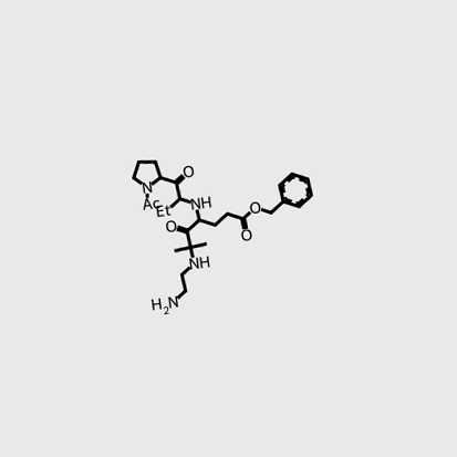 CCC(NC(CCC(=O)OCc1ccccc1)C(=O)C(C)(C)NCCN)C(=O)C1CCCN1C(C)=O